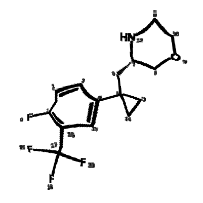 Fc1ccc(C2([CH][C@H]3COCCN3)CC2)cc1C(F)(F)F